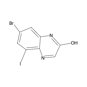 Oc1cnc2c(I)cc(Br)cc2n1